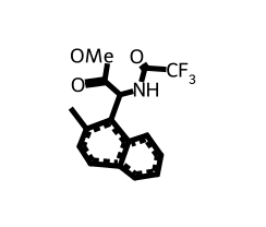 COC(=O)C(NC(=O)C(F)(F)F)c1c(C)ccc2ccccc12